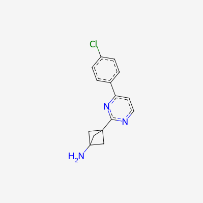 NC12CC(c3nccc(-c4ccc(Cl)cc4)n3)(C1)C2